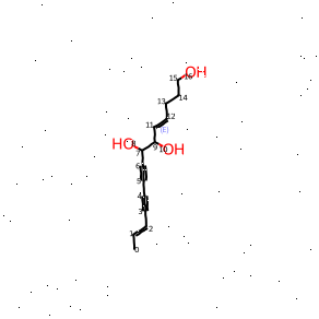 CC=CC#CC#CC(O)C(O)/C=C/CCCO